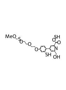 COCSOCCOCCOc1ccc(-c2cc(CO)nc(C(=O)OS)c2)c(S)c1